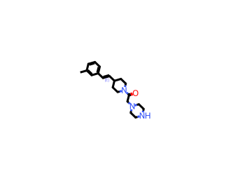 Cc1cccc(/C=C/C2CCN(C(=O)CN3CCNCC3)CC2)c1